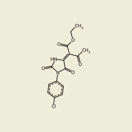 CCOC(=O)C(C(C)=O)=C1NC(=O)N(c2ccc(Cl)cc2)C1=O